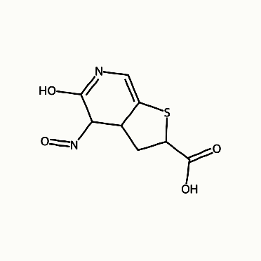 O=NC1C(O)=NC=C2SC(C(=O)O)CC21